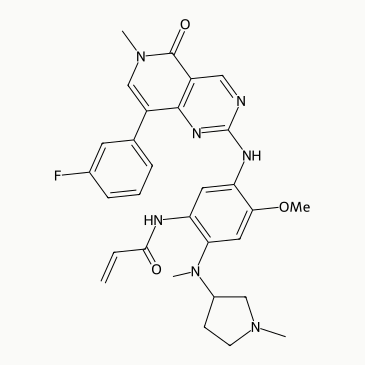 C=CC(=O)Nc1cc(Nc2ncc3c(=O)n(C)cc(-c4cccc(F)c4)c3n2)c(OC)cc1N(C)C1CCN(C)C1